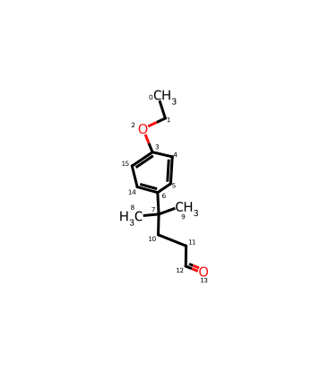 CCOc1ccc(C(C)(C)CCC=O)cc1